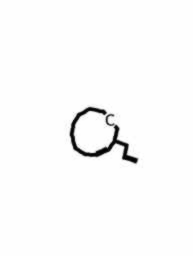 C=CCC1C=CCCCCCCCCC1